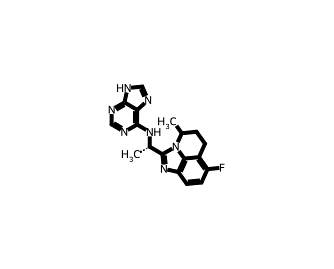 CC1CCc2c(F)ccc3nc([C@H](C)Nc4ncnc5[nH]cnc45)n1c23